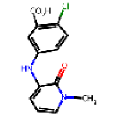 Cn1cccc(Nc2ccc(Cl)c(C(=O)O)c2)c1=O